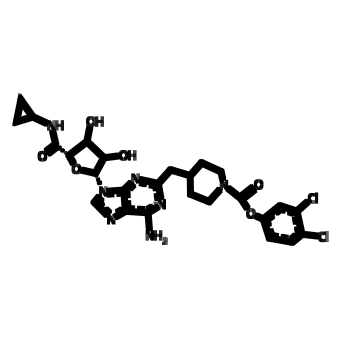 Nc1nc(CC2CCN(C(=O)Oc3ccc(Cl)c(Cl)c3)CC2)nc2c1ncn2[C@@H]1O[C@H](C(=O)NC2CC2)C(O)C1O